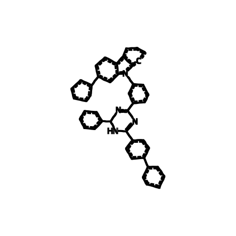 c1ccc(-c2ccc(C3=NC(c4cccc(-n5c6ccccc6c6ccc(-c7ccccc7)cc65)c4)=NC(c4ccccc4)N3)cc2)cc1